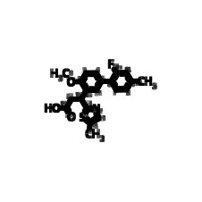 COc1ccc(-c2ccc(C)cc2F)cc1C(CC(=O)O)c1ncc(C)s1